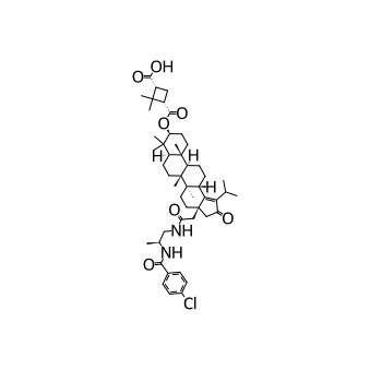 CC(C)C1=C2[C@H]3CC[C@@H]4[C@@]5(C)CC[C@H](OC(=O)[C@H]6C[C@@H](C(=O)O)C6(C)C)C(C)(C)[C@@H]5CC[C@@]4(C)[C@]3(C)CC[C@@]2(CC(=O)NC[C@H](C)NC(=O)c2ccc(Cl)cc2)CC1=O